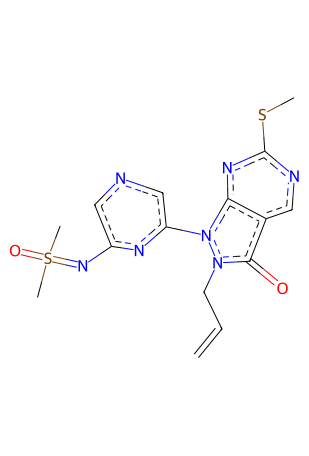 C=CCn1c(=O)c2cnc(SC)nc2n1-c1cncc(N=S(C)(C)=O)n1